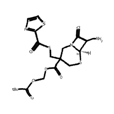 CC(C)(C)C(=O)OCOC(=O)C1(CSC(=O)c2nccs2)CS[C@@H]2C(N)C(=O)N2C1